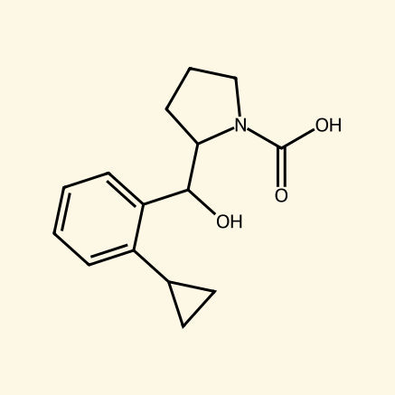 O=C(O)N1CCCC1C(O)c1ccccc1C1CC1